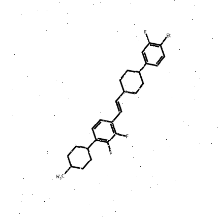 CCc1ccc(C2CCC(/C=C/c3ccc(C4CCC(C)CC4)c(F)c3F)CC2)cc1F